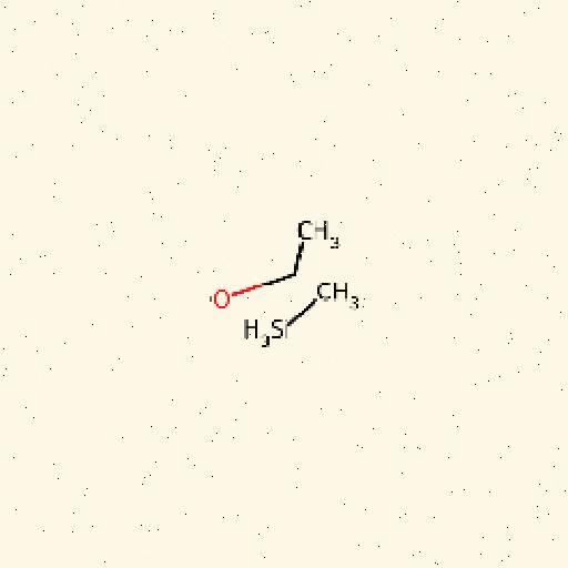 CC[O].C[SiH3]